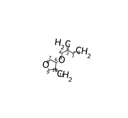 C=CC(=C)COC1COCC1=C